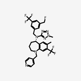 Cc1cc2c(cc1C(F)(F)F)N(Cc1ccncc1)CCC[C@@H]2N(Cc1cc(CF)cc(C(F)(F)F)c1)c1nnn(C)n1